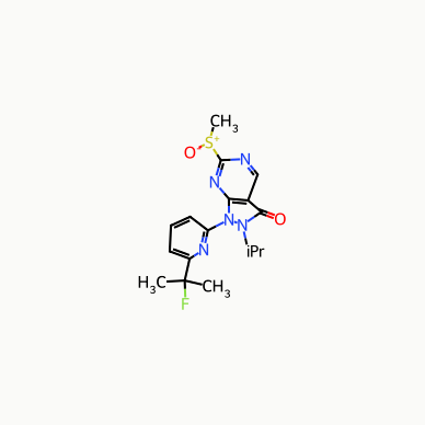 CC(C)n1c(=O)c2cnc([S+](C)[O-])nc2n1-c1cccc(C(C)(C)F)n1